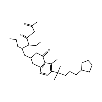 CCCC(CC1CC(=O)c2c(ccc(C(C)(C)CCCC3CCCC3)c2C)C1)C(CC)C(=O)CC(C)=O